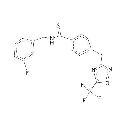 Fc1cccc(CNC(=S)c2ccc(Cc3noc(C(F)(F)F)n3)cc2)c1